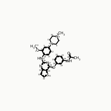 COc1cc(N2CCN(C)CC2)ccc1Nc1nc(Oc2cccc(NC(C)=O)c2)c2sccc2n1